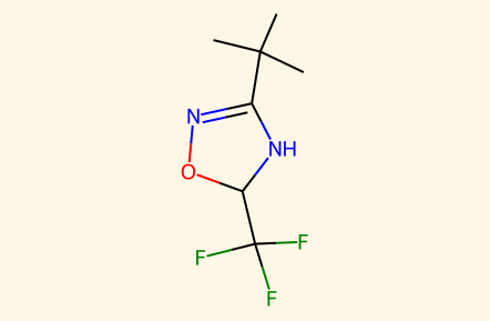 CC(C)(C)C1=NOC(C(F)(F)F)N1